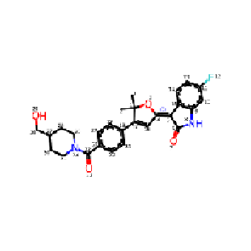 CC1(C)O/C(=C2/C(=O)Nc3cc(F)ccc32)C=C1c1ccc(C(=O)N2CCC(CO)CC2)cc1